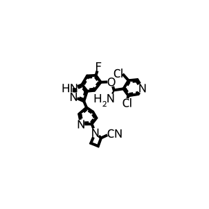 N#CC1CCN1c1ccc(-c2n[nH]c3cc(F)c(O[C@H](N)c4c(Cl)cncc4Cl)cc23)cn1